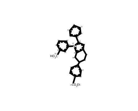 CCOC(=O)c1ccc(C2CCc3cc(-c4ccccc4)n(-c4cccc(C(=O)O)c4)c3C2)cc1